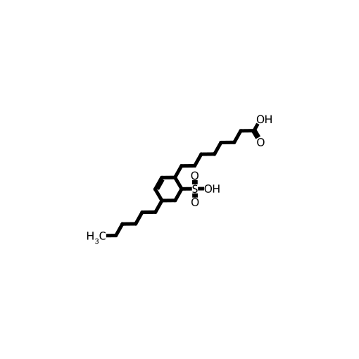 CCCCCCC1C=CC(CCCCCCCC(=O)O)C(S(=O)(=O)O)C1